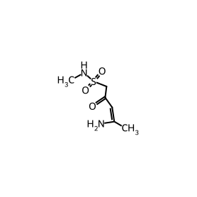 CNS(=O)(=O)CC(=O)/C=C(/C)N